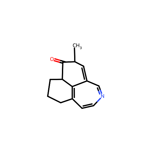 CC1C=C2C=NC=CC3=C2C(CCC3)C1=O